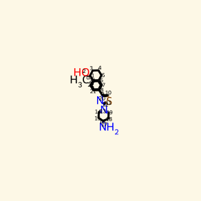 CC1(O)CCCc2cc(-c3csc(N4CCC(N)CC4)n3)ccc21